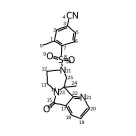 Cc1cc(C#N)ccc1S(=O)(=O)N1CCN2C(=O)c3cccnc3C2(C)C1